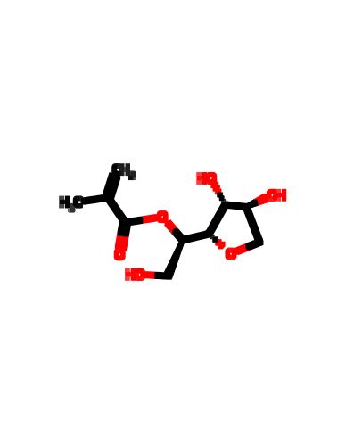 C=C(C)C(=O)O[C@H](CO)[C@H]1OC[C@H](O)[C@H]1O